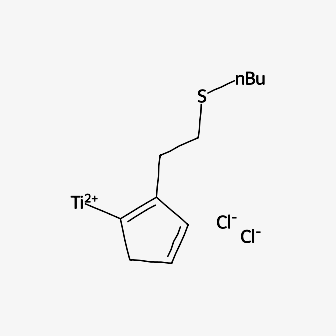 CCCCSCCC1=[C]([Ti+2])CC=C1.[Cl-].[Cl-]